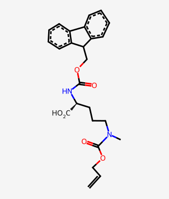 C=CCOC(=O)N(C)CCC[C@H](NC(=O)OCC1c2ccccc2-c2ccccc21)C(=O)O